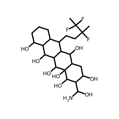 CC(F)(F)C(C)(F)CCC1C2CCCC(O)C2C(O)C2C1C(O)C1CC(O)C(C(N)O)C(O)C1(O)C2O